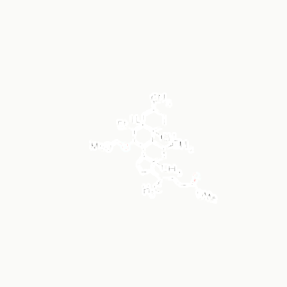 CC[C@H]1[C@@H](OCOC)C2C3CC[C@H]([C@H](C)CCC(=O)OC)[C@@]3(C)C[C@H](C)C2[C@@]2(C)CC[C@@H](C)C[C@@H]12